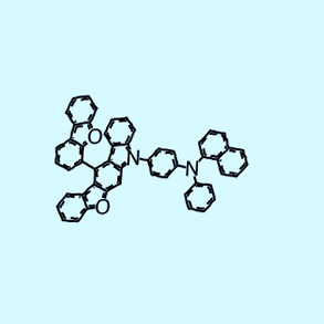 c1ccc(N(c2ccc(-n3c4ccccc4c4c(-c5cccc6c5oc5ccccc56)c5c(cc43)oc3ccccc35)cc2)c2cccc3ccccc23)cc1